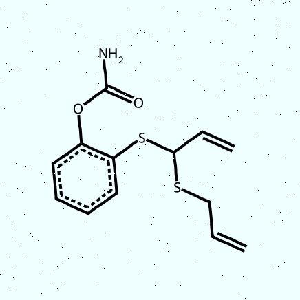 C=CCSC(C=C)Sc1ccccc1OC(N)=O